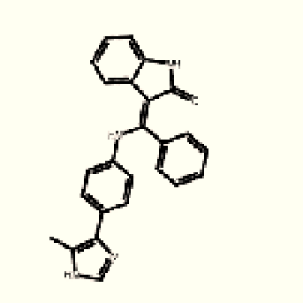 Cc1[nH]cnc1-c1ccc(NC(=C2C(=O)Nc3ccccc32)c2ccccc2)cc1